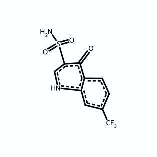 NS(=O)(=O)c1c[nH]c2cc(C(F)(F)F)ccc2c1=O